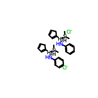 C[SiH](C)[Hf+]([NH]c1ccccc1)[C]1=CC=CC1.C[SiH](C)[Hf+]([NH]c1ccccc1)[C]1=CC=CC1.[Cl-].[Cl-]